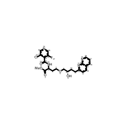 COC(=O)C(CCOC[C@@H](O)CCc1ccc2cccnc2n1)NC(=O)c1c(F)cncc1Cl